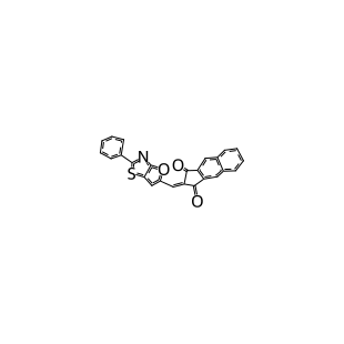 O=C1C(=Cc2cc3sc(-c4ccccc4)nc3o2)C(=O)c2cc3ccccc3cc21